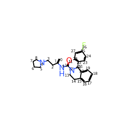 C=C(CCN1CCCC1)NC(=O)N1CCc2ccccc2[C@@H]1c1ccc(F)cc1